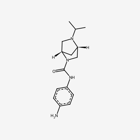 CC(C)N1C[C@@H]2C[C@H]1CN2C(=O)Nc1ccc(N)cc1